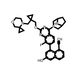 C#Cc1cccc2cc(O)cc(-c3ccc4c(N5CC6CCC(C5)N6)nc(OCC5(CN6CCOCC67CC7)CC5)nc4c3F)c12